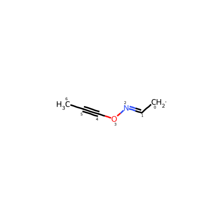 [CH2]C=NOC#CC